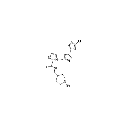 CC(C)N1CCC(CNC(=O)c2nccn2Cc2cc(-c3ccc(Cl)s3)on2)CC1